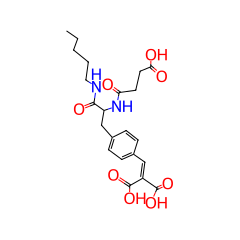 CCCCCNC(=O)C(Cc1ccc(C=C(C(=O)O)C(=O)O)cc1)NC(=O)CCC(=O)O